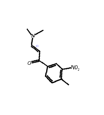 Cc1ccc(C(=O)/C=C/N(C)C)cc1[N+](=O)[O-]